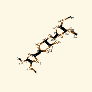 CSC1=C(SC)SC(=C2SC3=C(S2)SC(=C2SC(SC)=C(SC)S2)S3)S1